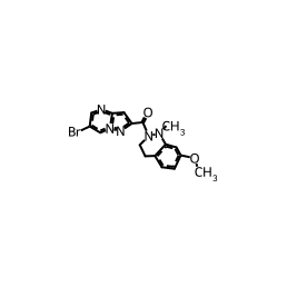 COc1ccc2c(c1)N(C)N(C(=O)c1cc3ncc(Br)cn3n1)CC2